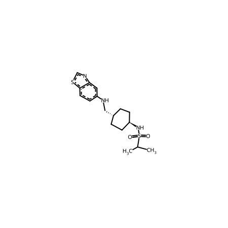 CC(C)S(=O)(=O)N[C@H]1CC[C@H](CNc2ccc3scnc3c2)CC1